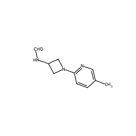 Cc1ccc(N2CC(NC=O)C2)nc1